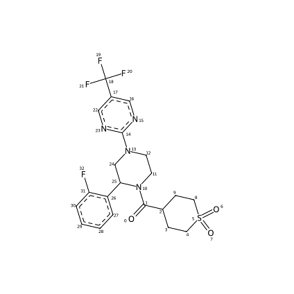 O=C(C1CCS(=O)(=O)CC1)N1CCN(c2ncc(C(F)(F)F)cn2)CC1c1ccccc1F